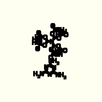 Nc1nc(N)nc(N)n1.O=[PH](O)OC(O[PH](=O)O)N(C(O[PH](=O)O)O[PH](=O)O)C(O[PH](=O)O)O[PH](=O)O